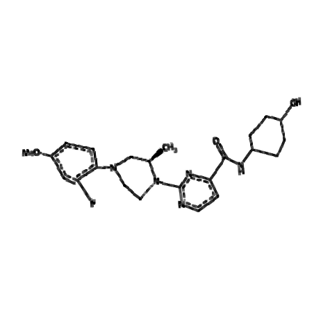 COc1ccc(N2CCN(c3nccc(C(=O)NC4CCC(O)CC4)n3)[C@H](C)C2)c(F)c1